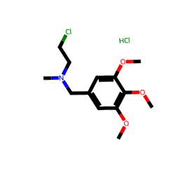 COc1cc(CN(C)CCCl)cc(OC)c1OC.Cl